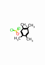 Cc1cc(C)c(C)cc1C.[O-][S+](Cl)Cl